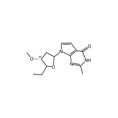 CCC1OC(n2ccc3c(=O)[nH]c(C)nc32)C[C@H]1OC